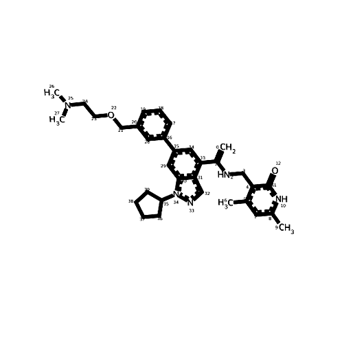 C=C(NCc1c(C)cc(C)[nH]c1=O)c1cc(-c2cccc(COCCN(C)C)c2)cc2c1cnn2C1CCCC1